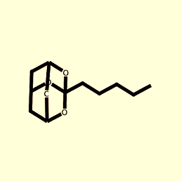 CCCCCC12OC3CC(CC(C3)O1)O2